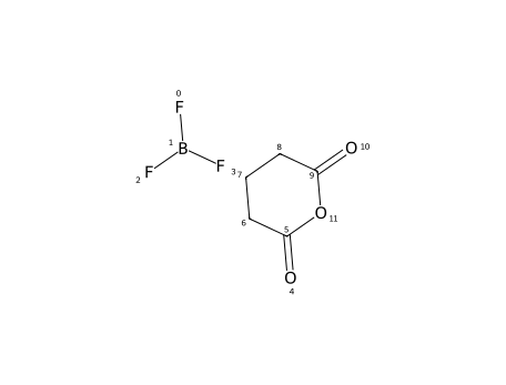 FB(F)F.O=C1CCCC(=O)O1